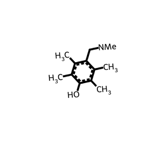 CNCc1c(C)c(C)c(O)c(C)c1C